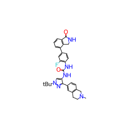 CN1CCc2cc(-c3nn(C(C)(C)C)cc3NC(=O)Nc3ccc(-c4cccc5c4CNC5=O)cc3F)ccc2C1